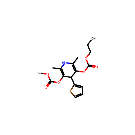 CC1=C(OC(=O)OCCC#N)C(c2cccs2)C(OC(=O)OC(C)C)=C(C)N1